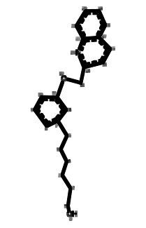 OCCCCCCc1cccc(OCc2ccc3ccccc3n2)c1